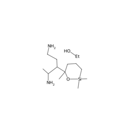 CC(N)C(CCN)C1(C)CCC[Si](C)(C)O1.CCO